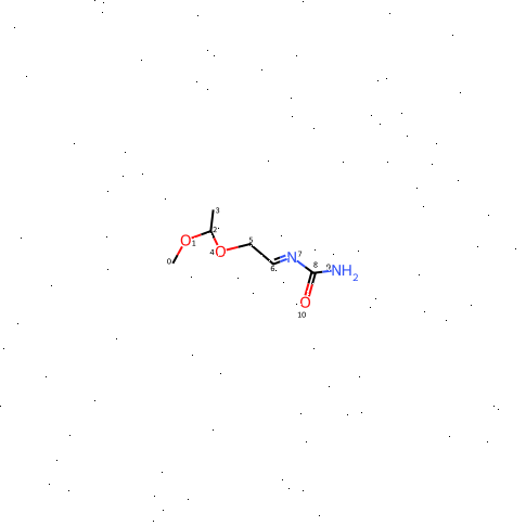 COC(C)OCC=NC(N)=O